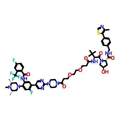 Cc1ncsc1-c1ccc(CNC(=O)[C@@H]2C[C@@H](O)CN2C(=O)[C@@H](NC(=O)CCOCCOCCC(=O)N2CCN(c3ncc(-c4cc(NC(=O)c5ccc(F)cc5C(F)(F)F)c(N5C[C@@H](C)N(C)[C@@H](C)C5)cc4F)cn3)CC2)C(C)(C)C)cc1